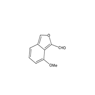 COc1cccc2coc(C=O)c12